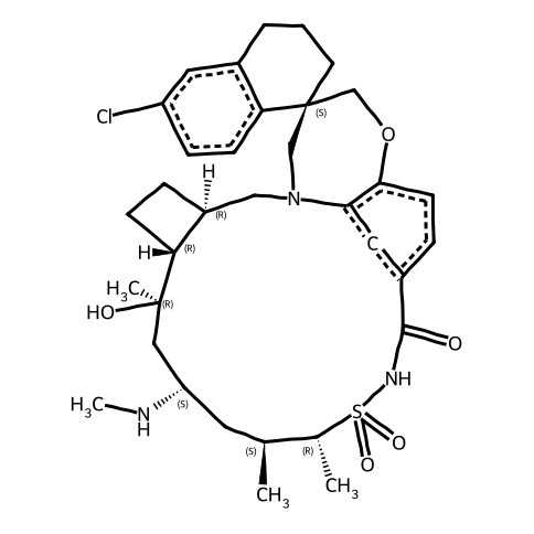 CN[C@H]1C[C@H](C)[C@@H](C)S(=O)(=O)NC(=O)c2ccc3c(c2)N(C[C@@H]2CC[C@H]2[C@](C)(O)C1)C[C@@]1(CCCc2cc(Cl)ccc21)CO3